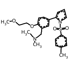 COCCOc1ccc(-c2cccn2S(=O)(=O)c2ccc(C)cc2)cc1CN(C)C